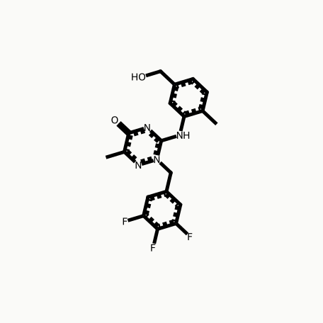 Cc1ccc(CO)cc1Nc1nc(=O)c(C)nn1Cc1cc(F)c(F)c(F)c1